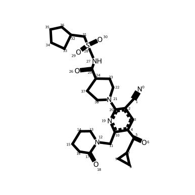 N#Cc1cc(C(=O)C2CC2)c(CN2CCCCC2=O)nc1N1CCC(C(=O)NS(=O)(=O)CC2CCCC2)CC1